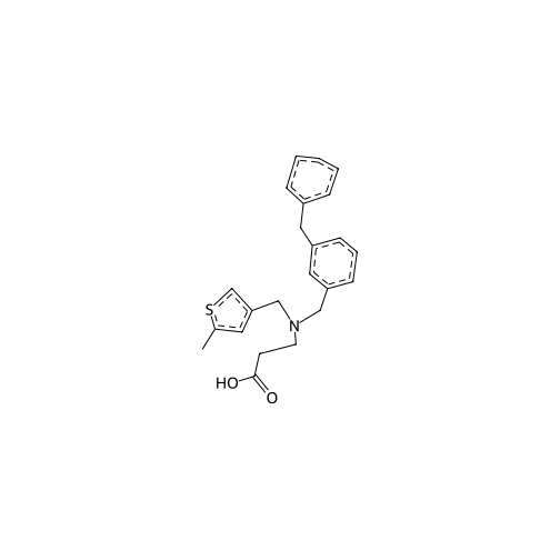 Cc1cc(CN(CCC(=O)O)Cc2cccc(Cc3ccccc3)c2)cs1